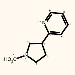 O=C(O)N1CCC(c2ccccn2)C1